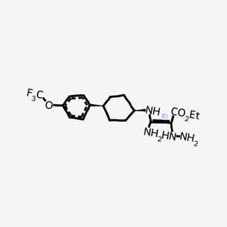 CCOC(=O)/C(NN)=C(/N)N[C@H]1CC[C@@H](c2ccc(OC(F)(F)F)cc2)CC1